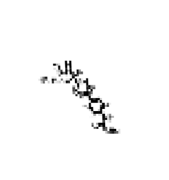 CC(C)(C)OC(=O)NC(F)(F)c1nnc(-c2ccc(NC(=O)C(C)(C)C)cc2)nn1